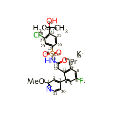 COc1cc(-c2cc(F)cc(C(C)C)c2CC(=O)NS(=O)(=O)c2ccc(C(C)(C)O)c(Cl)c2)ccn1.[K]